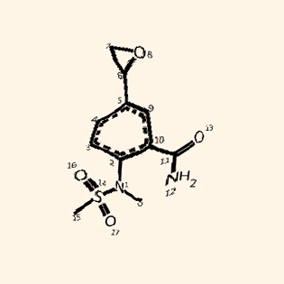 CN(c1ccc(C2CO2)cc1C(N)=O)S(C)(=O)=O